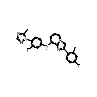 Cc1cc(F)ccc1-c1cn2cccc(Nc3ccc(-n4ncnc4C)c(F)c3)c2n1